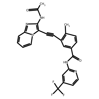 CC(=O)Nc1nc2ccccn2c1C#Cc1cc(C(=O)Nc2cc(C(F)(F)F)ccn2)ccc1C